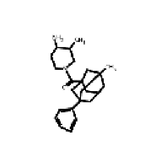 CC1CN(C(=O)C23CC4CC(C)(C2)CC(c2ccccc2)(C4)C3)CCC1N